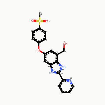 CCS(=O)(=O)c1ccc(Oc2cc(CO)c3[nH]c(-c4ccccn4)nc3c2)cc1